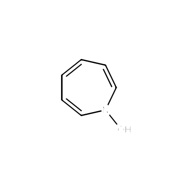 ON1C=CC=CC=C1